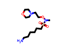 CN(OCCN1CCOCC1)S(=O)(=O)CCCCCCN